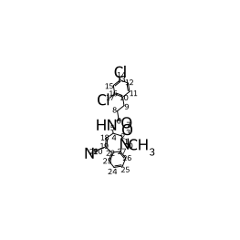 CN1C(=O)C(NC(=O)CCc2ccc(Cl)cc2Cl)C=C(C#N)c2ccccc21